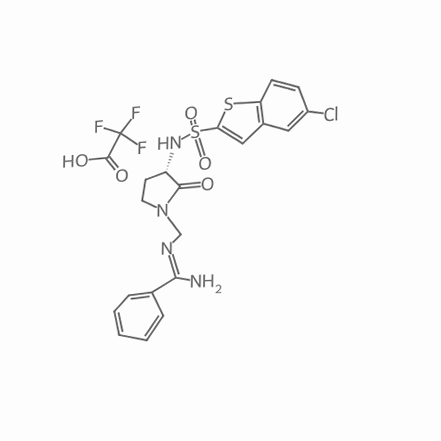 NC(=NCN1CC[C@H](NS(=O)(=O)c2cc3cc(Cl)ccc3s2)C1=O)c1ccccc1.O=C(O)C(F)(F)F